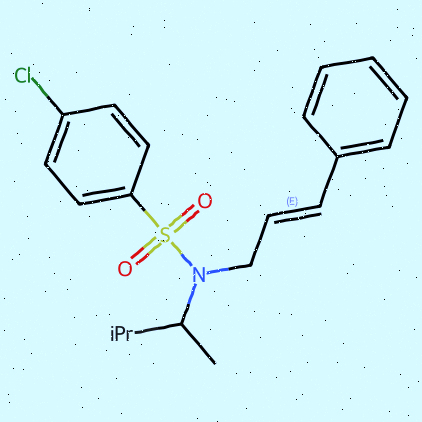 CC(C)C(C)N(C/C=C/c1ccccc1)S(=O)(=O)c1ccc(Cl)cc1